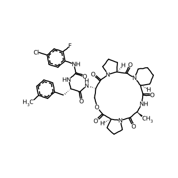 Cc1cccc(C[C@H](NC(=O)Nc2ccc(Cl)cc2F)C(=O)N[C@H]2COC(=O)[C@@H]3CCCN3C(=O)[C@H](C)NC(=O)[C@@H]3CCCCN3C(=O)[C@@H]3CCCN3C2=O)c1